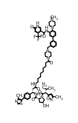 Cc1cc([C@H](C(=O)N2C[C@H](O)C[C@H]2C(=O)N[C@@H](CC(=O)NCCCCCCCCC(=O)N2CCN(Cc3cccc(-c4ccc(N5CCN(C)CC5)c(NC(=O)c5c[nH]c(=O)cc5C(F)(F)F)c4)c3)CC2)c2ccc(-c3scnc3C)cc2)C(C)C)on1